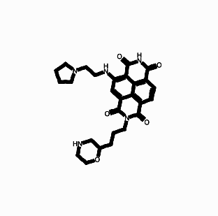 O=C1NC(=O)c2c(NCCN3CCCC3)cc3c4c(ccc1c24)C(=O)N(CCCC1CNCCO1)C3=O